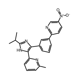 Cc1cccc(-c2[nH]c(C(C)C)nc2-c2cccc(-c3ccc([N+](=O)[O-])cn3)c2)n1